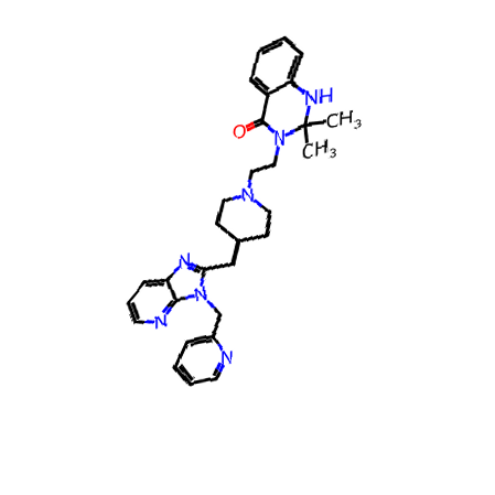 CC1(C)Nc2ccccc2C(=O)N1CCN1CCC(Cc2nc3cccnc3n2Cc2ccccn2)CC1